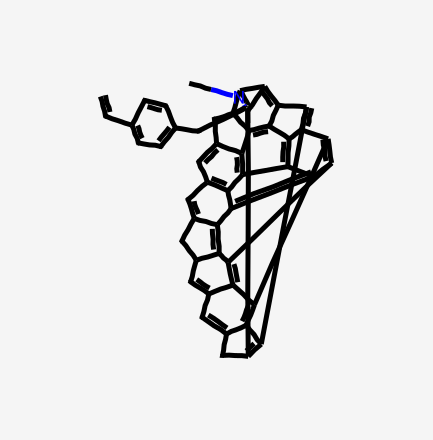 C=Cc1ccc(CC2N(C)CC3C4=c5c6c7c8c(cc9cc%10c%11c%12c%13c%14c(cc%15c%16c(c5c5c6c6c8c9c%11c6c%13c5c%16%14)=C(C4)C%15)=CC%12C%10)CC732)cc1